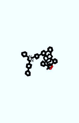 Cc1ccccc1-c1ccccc1C12CCCC34CC(CC5(CC1c1ccccc1-c1ccccc15)C32)c1ccccc1-c1ccc(-c2ccc(-c3nc(-c5ccccc5)cc(-c5ccc(-c6ccccc6)cc5)n3)cc2)cc14